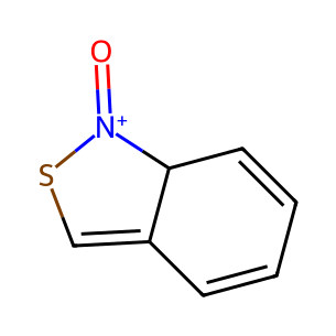 O=[N+]1SC=C2C=CC=CC21